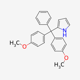 COc1ccc(C(c2ccccc2)(c2ccc(OC)cc2)c2ccc[nH]2)cc1